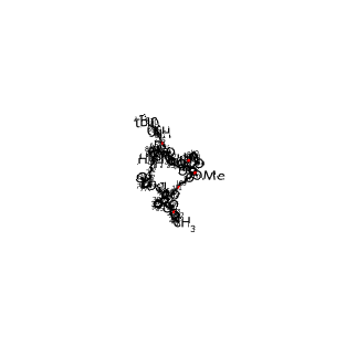 COc1cc2c(cc1OCCCCCC(=O)N1C[C@@H](CCl)c3c1cc(OC(=O)N1CCN(C)CC1)c1ccccc31)N(C(=O)OCc1ccc(NC(=O)[C@H](CCCCNC(=O)OC(C)(C)C)NC(=O)C3(C(=O)NCCCCCN4C(=O)C=CC4=O)CCC3)cc1)C(O)[C@@H]1CCCN1C2=O